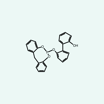 Oc1ccccc1-c1ccccc1OP1Oc2ccccc2Cc2ccccc2O1